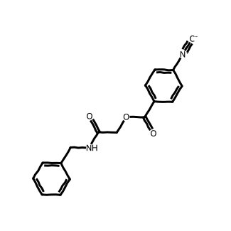 [C-]#[N+]c1ccc(C(=O)OCC(=O)NCc2ccccc2)cc1